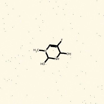 [CH2]N1C=C(F)C(O)NC1O